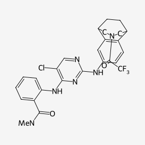 CNC(=O)c1ccccc1Nc1nc(Nc2ccc3c(c2)C2CCC3CN(C(=O)C(F)(F)F)C2)ncc1Cl